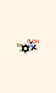 CC(C)(C)N(C(=O)O)c1ccc(F)c(Br)c1